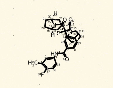 Cc1cc(NC(=O)c2ccc(F)c(C(F)(F)C(=O)N3[C@@H]4CC[C@H]3C[C@H](C(=O)N3CCOCC3)C4)c2)ccc1F